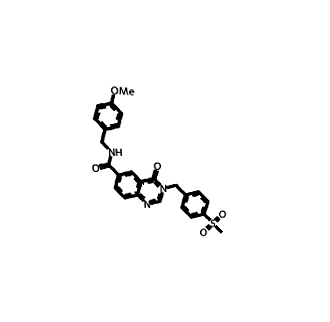 COc1ccc(CNC(=O)c2ccc3ncn(Cc4ccc(S(C)(=O)=O)cc4)c(=O)c3c2)cc1